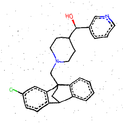 O[C@@H](c1cccnc1)C1CCN(CC23CC(c4ccccc42)c2ccc(Cl)cc23)CC1